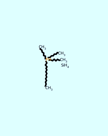 CCCCCCCCCCCCCCCC[PH](CCCCCCCC)(CCCCCCCC)CCCCCCCC.[SiH4]